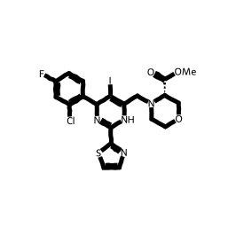 COC(=O)[C@@H]1COCCN1CC1=C(I)C(c2ccc(F)cc2Cl)N=C(c2nccs2)N1